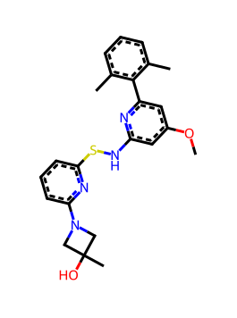 COc1cc(NSc2cccc(N3CC(C)(O)C3)n2)nc(-c2c(C)cccc2C)c1